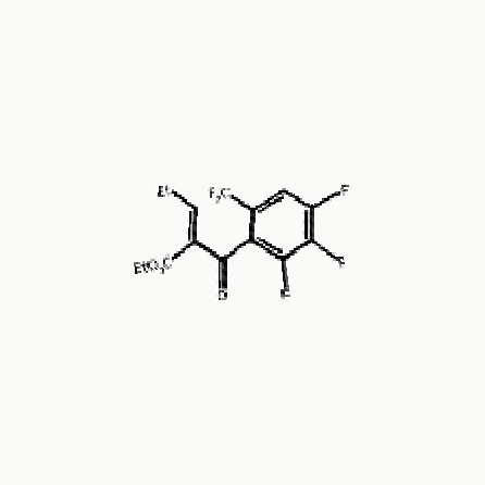 CCC=C(C(=O)OCC)C(=O)c1c(C(F)(F)F)cc(F)c(F)c1F